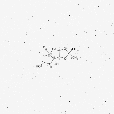 CC1(C)OC2O[C@@H]3CC(O)O[C@@H]3C2O1